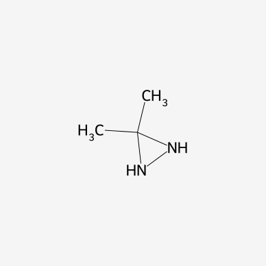 CC1(C)NN1